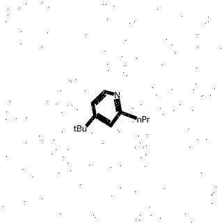 CCCc1cc(C(C)(C)C)ccn1